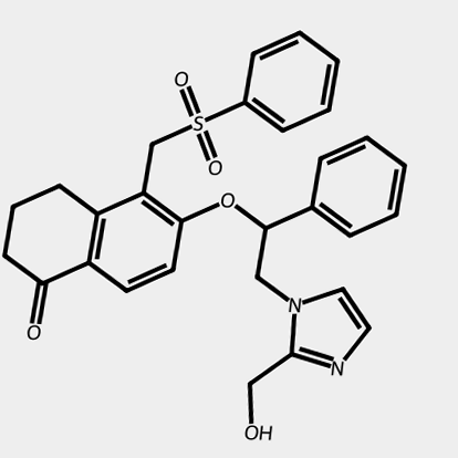 O=C1CCCc2c1ccc(OC(Cn1ccnc1CO)c1ccccc1)c2CS(=O)(=O)c1ccccc1